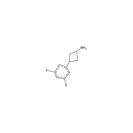 NC1CC(c2cc(F)cc(F)c2)C1